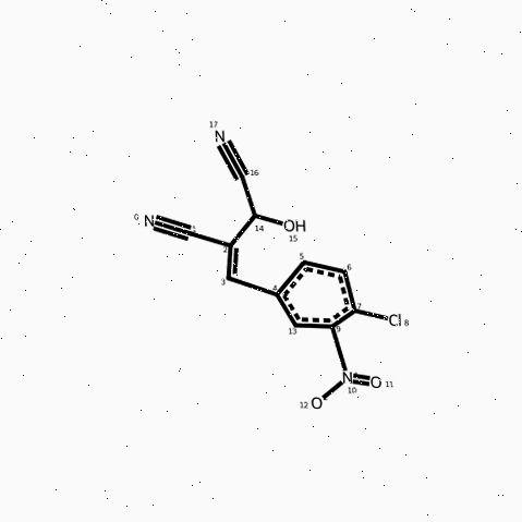 N#CC(=Cc1ccc(Cl)c([N+](=O)[O-])c1)C(O)C#N